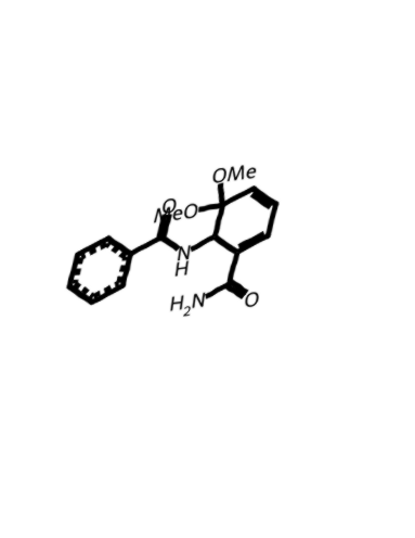 COC1(OC)C=CC=C(C(N)=O)C1NC(=O)c1ccccc1